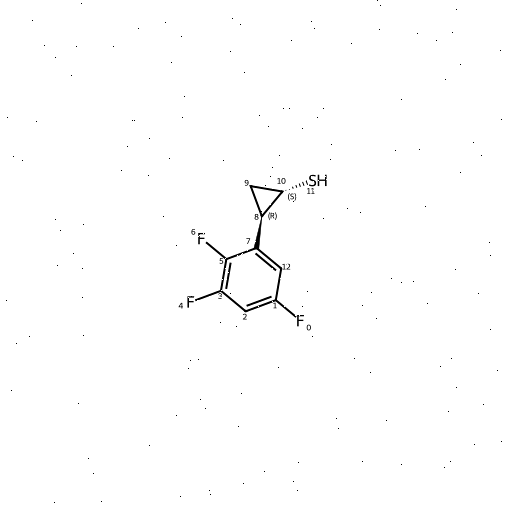 Fc1cc(F)c(F)c([C@H]2C[C@@H]2S)c1